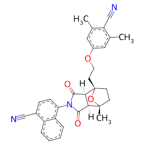 Cc1cc(OCC[C@@]23CC[C@@](C)(O2)[C@H]2C(=O)N(c4ccc(C#N)c5ccccc45)C(=O)[C@H]23)cc(C)c1C#N